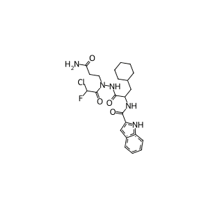 NC(=O)CCN(NC(=O)C(CC1CCCCC1)NC(=O)c1cc2ccccc2[nH]1)C(=O)C(F)Cl